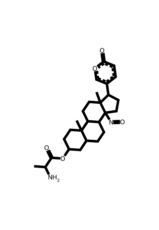 CC(N)C(=O)OC1CCC2(C)C(CCC3C2CCC2(C)C(c4ccc(=O)oc4)CCC32N=O)C1